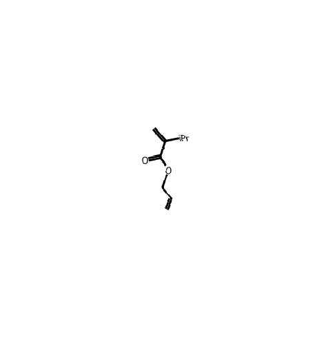 C=CCOC(=O)C(=C)C(C)C